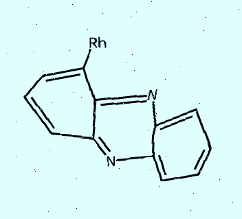 [Rh][c]1cccc2nc3ccccc3nc12